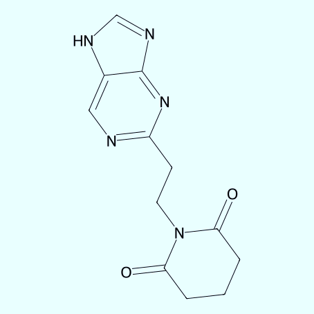 O=C1CCCC(=O)N1CCc1ncc2[nH]cnc2n1